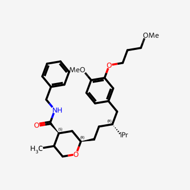 COCCCOc1cc(C[C@@H](CC[C@@H]2C[C@H](C(=O)NCc3ccccc3)C(C)CO2)C(C)C)ccc1OC